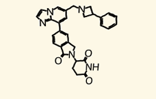 O=C1CCC(N2Cc3cc(-c4cc(CN5CC(c6ccccc6)C5)cn5ccnc45)ccc3C2=O)C(=O)N1